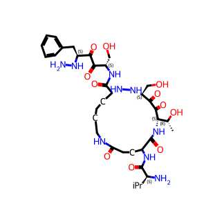 CC(C)[C@H](N)C(=O)NC1CCC(=O)NCCCCC(C(=O)N[C@@H](CO)C(=O)C(=O)[C@H](Cc2ccccc2)NN)NN[C@@H](CO)C(=O)C(=O)[C@H]([C@@H](C)O)NC1=O